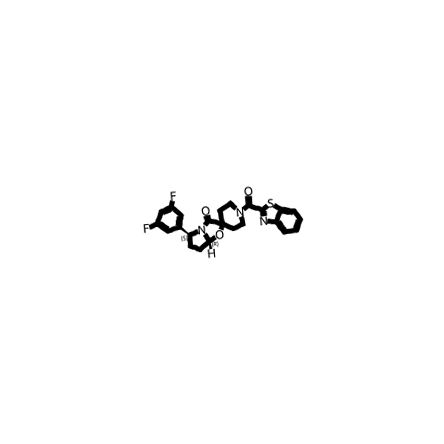 O=C(c1nc2ccccc2s1)N1CCC2(CC1)O[C@@H]1CC[C@@H](c3cc(F)cc(F)c3)N1C2=O